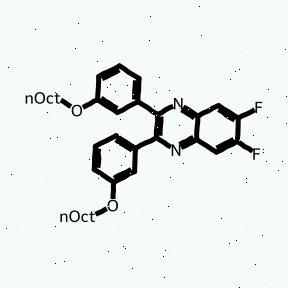 CCCCCCCCOc1cccc(-c2nc3cc(F)c(F)cc3nc2-c2cccc(OCCCCCCCC)c2)c1